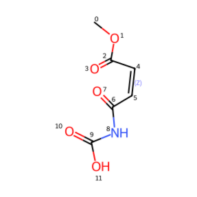 COC(=O)/C=C\C(=O)NC(=O)O